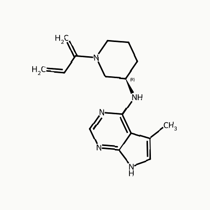 C=CC(=C)N1CCC[C@@H](Nc2ncnc3[nH]cc(C)c23)C1